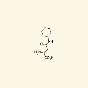 N[C@@H](CC(=O)NC1CCCCC1)C(=O)O